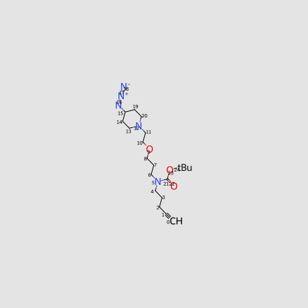 C#CCCCN(CCCOCCN1CCC(N=[N+]=[N-])CC1)C(=O)OC(C)(C)C